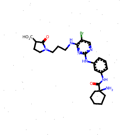 NC1(C(=O)Nc2cccc(Nc3ncc(Br)c(NCCCN4CCC(C(=O)O)C4=O)n3)c2)CCCCC1